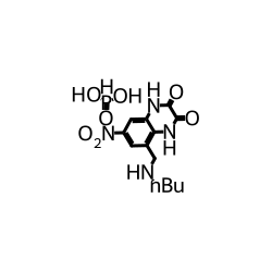 CCCCNCc1cc([N+](=O)[O-])cc2[nH]c(=O)c(=O)[nH]c12.O=[PH](O)O